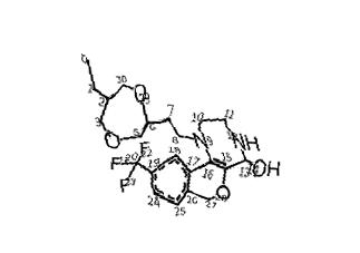 CCC1COCC(CCN2CCNC(O)C3=C2c2cc(C(F)(F)F)ccc2CO3)OC1